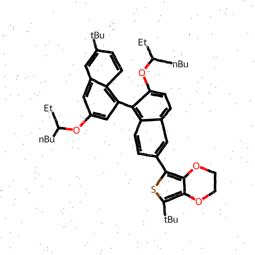 CCCCC(CC)Oc1cc(-c2c(OC(CC)CCCC)ccc3cc(-c4sc(C(C)(C)C)c5c4OCCO5)ccc23)c2ccc(C(C)(C)C)cc2c1